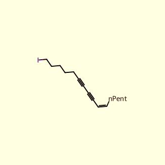 CCCCC/C=C\C#CC#CCCCCCI